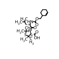 CC(C)C[C@H](NC(=O)OCC1C=CCCC1)C(=O)N1[C@H](C(=O)O)C(C)(C)SC1(C)C